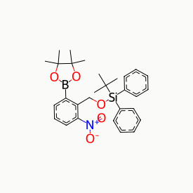 CC1(C)OB(c2cccc([N+](=O)[O-])c2CO[Si](c2ccccc2)(c2ccccc2)C(C)(C)C)OC1(C)C